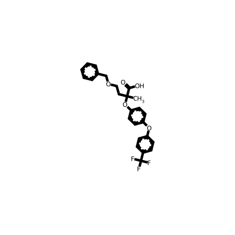 CC(CCOCc1ccccc1)(Oc1ccc(Oc2ccc(C(F)(F)F)cc2)cc1)C(=O)O